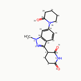 Cn1nc(C2CCC(=O)NC2=O)c2ccc(N3CCCCC3=O)cc21